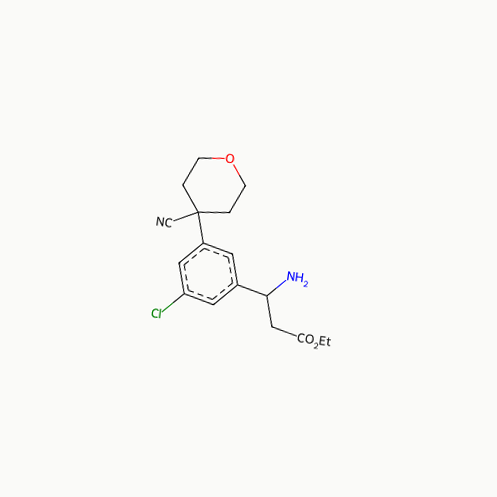 CCOC(=O)CC(N)c1cc(Cl)cc(C2(C#N)CCOCC2)c1